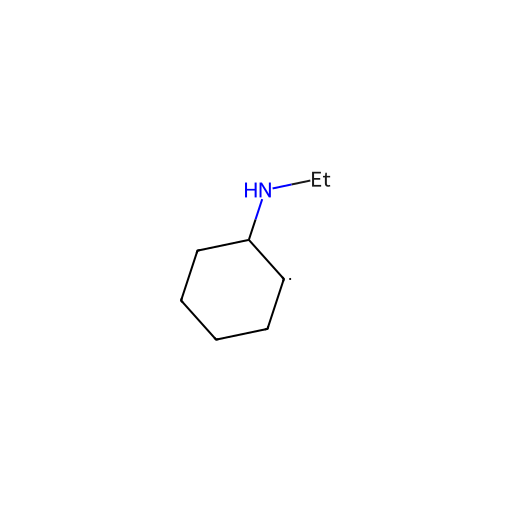 CCNC1[CH]CCCC1